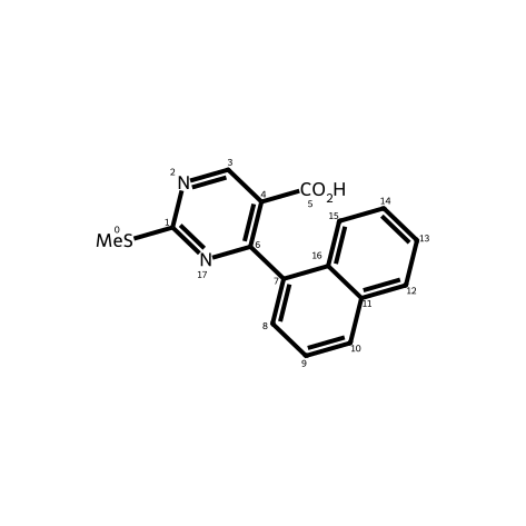 CSc1ncc(C(=O)O)c(-c2cccc3ccccc23)n1